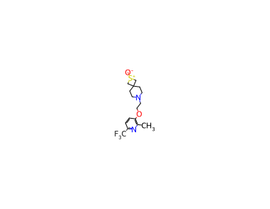 Cc1nc(C(F)(F)F)ccc1OCCN1CCC2(CC1)C[S+]([O-])C2